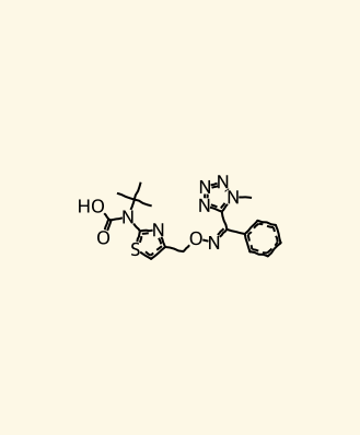 Cn1nnnc1C(=NOCc1csc(N(C(=O)O)C(C)(C)C)n1)c1ccccc1